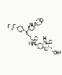 O=C(C=CC=C(c1ccc(C(F)(F)F)cc1)c1ccc(N2CCOCC2)nc1)Nc1ccc2c(c1)NC(=O)C(CCO)O2